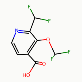 O=C(O)c1ccnc(C(F)F)c1OC(F)F